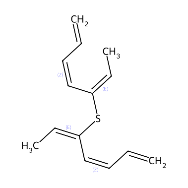 C=C/C=C\C(=C/C)SC(/C=C\C=C)=C/C